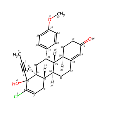 CC#CC1(O)C(Cl)=CC[C@H]2[C@@H]3CCC4=CC(=O)CC[C@@H]4[C@H]3[C@@H](c3ccc(OC)cc3)C[C@@]21C